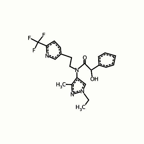 CCn1cc(N(CCc2ccc(C(F)(F)F)nc2)C(=O)C(O)c2ccccc2)c(C)n1